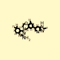 Cc1nc2ncc(-c3cc(C)c4c(c3)CN(c3nc(N)nc5c3CC(C)(C)CC5)CCO4)cc2[nH]1